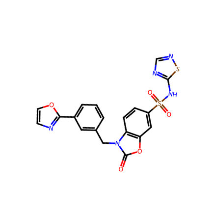 O=c1oc2cc(S(=O)(=O)Nc3ncns3)ccc2n1Cc1cccc(-c2ncco2)c1